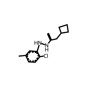 C=C(CC1CCC1)NNc1cc(C)ccc1Cl